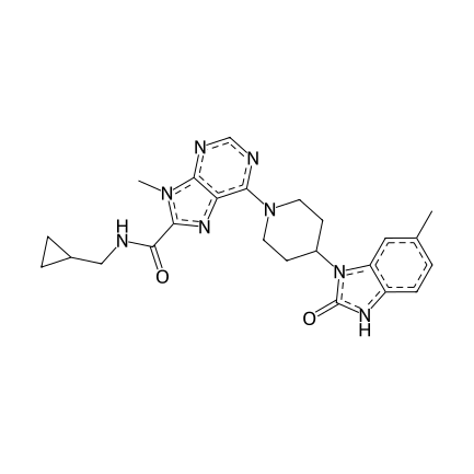 Cc1ccc2[nH]c(=O)n(C3CCN(c4ncnc5c4nc(C(=O)NCC4CC4)n5C)CC3)c2c1